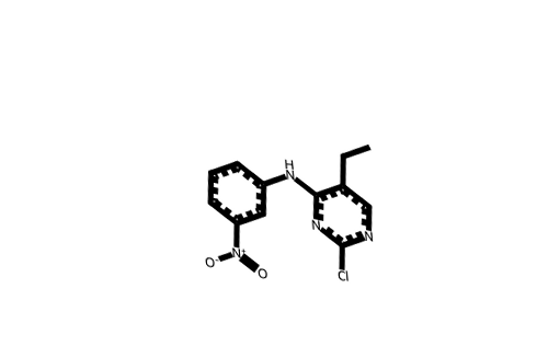 CCc1cnc(Cl)nc1Nc1cccc([N+](=O)[O-])c1